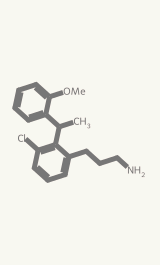 COc1ccccc1C(C)c1c(Cl)cccc1CCCN